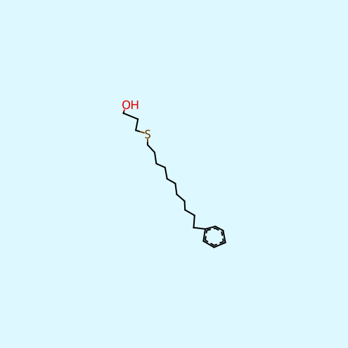 OCCCSCCCCCCCCCCCc1ccccc1